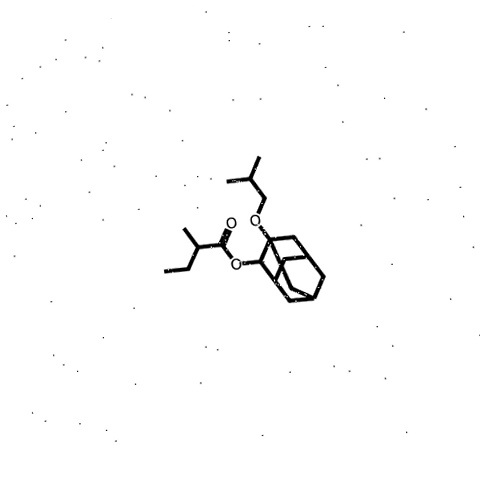 CCC(C)C(=O)OC1C2CC3CC(C2)CC1(OCC(C)C)C3